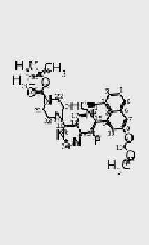 C#Cc1cccc2cc(OCOC)cc(-c3ncc4c(N5CCN(C(=O)OC(C)(C)C)CC5)ncnc4c3F)c12